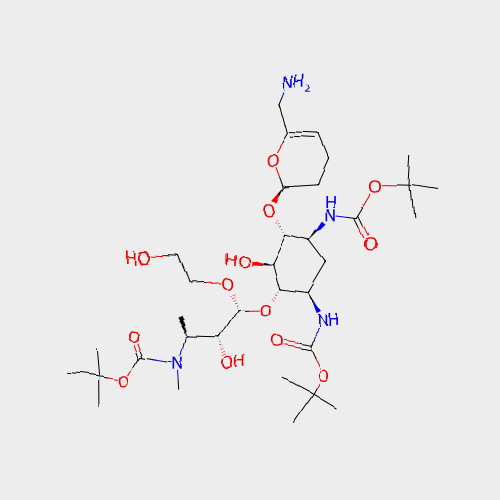 C[C@@H]([C@@H](O)[C@H](OCCO)O[C@@H]1[C@@H](O)[C@H](O[C@@H]2CCC=C(CN)O2)[C@@H](NC(=O)OC(C)(C)C)C[C@H]1NC(=O)OC(C)(C)C)N(C)C(=O)OC(C)(C)C